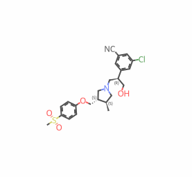 C[C@@H]1CN(C[C@H](CO)c2cc(Cl)cc(C#N)c2)C[C@H]1COc1ccc(S(C)(=O)=O)cc1